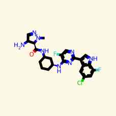 CN1N=CC(N)[C@@H]1C(=O)NC1CCC[C@H](Nc2nc(-c3c[nH]c4c(F)cc(Cl)cc34)ncc2F)C1